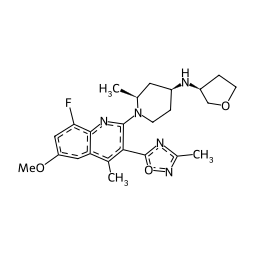 COc1cc(F)c2nc(N3CC[C@H](N[C@H]4CCOC4)C[C@@H]3C)c(-c3nc(C)no3)c(C)c2c1